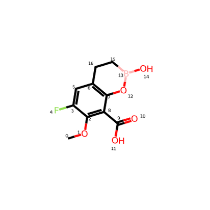 COc1c(F)cc2c(c1C(=O)O)OB(O)CC2